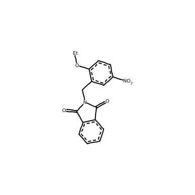 CCOc1ccc([N+](=O)[O-])cc1CN1C(=O)c2ccccc2C1=O